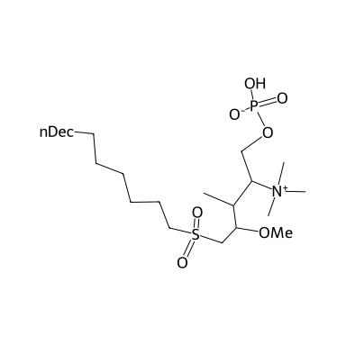 CCCCCCCCCCCCCCCCS(=O)(=O)CC(OC)C(C)C(COP(=O)([O-])O)[N+](C)(C)C